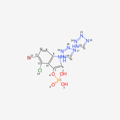 O=P(O)(O)Oc1c[nH]c2ccc(Br)c(Cl)c12.c1nnn[nH]1.c1nnn[nH]1